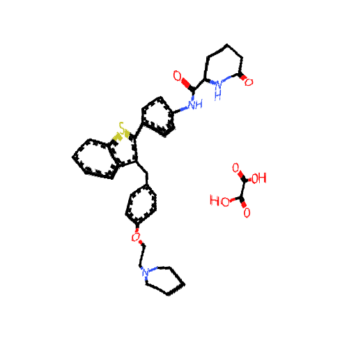 O=C(O)C(=O)O.O=C1CCCC(C(=O)Nc2ccc(-c3sc4ccccc4c3Cc3ccc(OCCN4CCCC4)cc3)cc2)N1